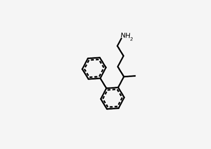 CC(CCCN)c1ccccc1-c1ccccc1